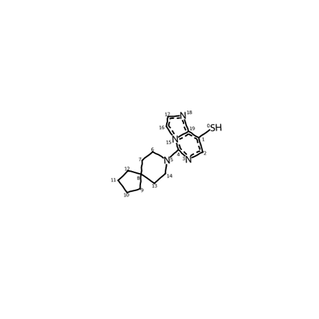 Sc1cnc(N2CCC3(CCCC3)CC2)n2ccnc12